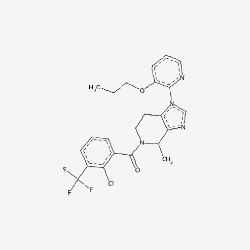 CCCOc1cccnc1-n1cnc2c1CCN(C(=O)c1cccc(C(F)(F)F)c1Cl)C2C